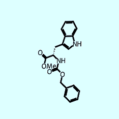 COC(=O)[C@H](Cc1c[nH]c2ccccc12)NC(=O)OCc1ccccc1